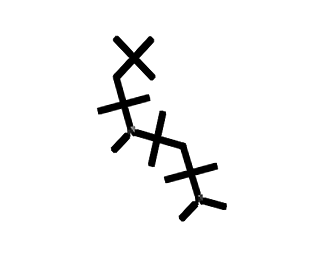 CN(C)C(C)(C)CC(C)(C)N(C)C(C)(C)CC(C)(C)C